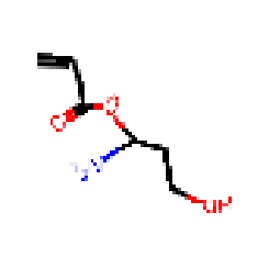 C=CC(=O)OC(N)CCO